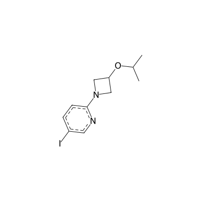 CC(C)OC1CN(c2ccc(I)cn2)C1